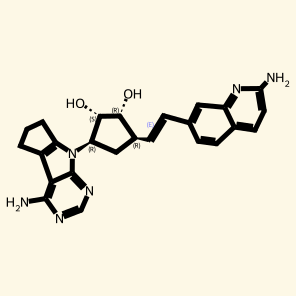 Nc1ccc2ccc(/C=C/[C@H]3C[C@@H](n4c5c(c6c(N)ncnc64)CCC5)[C@H](O)[C@@H]3O)cc2n1